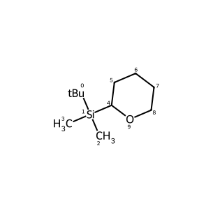 CC(C)(C)[Si](C)(C)C1CCCCO1